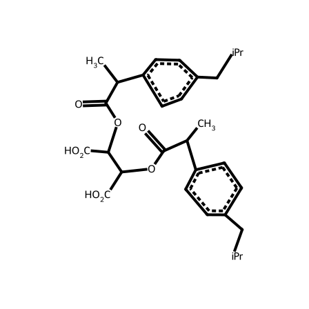 CC(C)Cc1ccc(C(C)C(=O)OC(C(=O)O)C(OC(=O)C(C)c2ccc(CC(C)C)cc2)C(=O)O)cc1